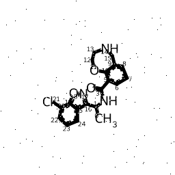 CC(NC(=O)c1cccc2c1OCCNC2)c1noc2c(Cl)cccc12